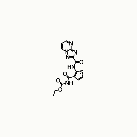 CCOC(=O)NC(=O)c1ccsc1NC(=O)c1nc2ncccn2n1